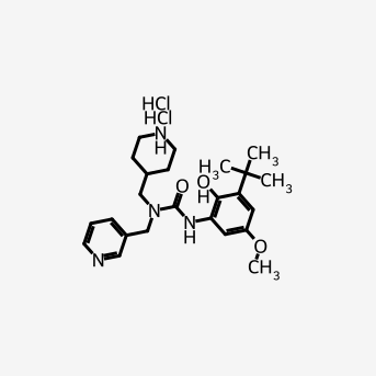 COc1cc(NC(=O)N(Cc2cccnc2)CC2CCNCC2)c(O)c(C(C)(C)C)c1.Cl.Cl